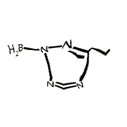 Bn1nnc(C)n1